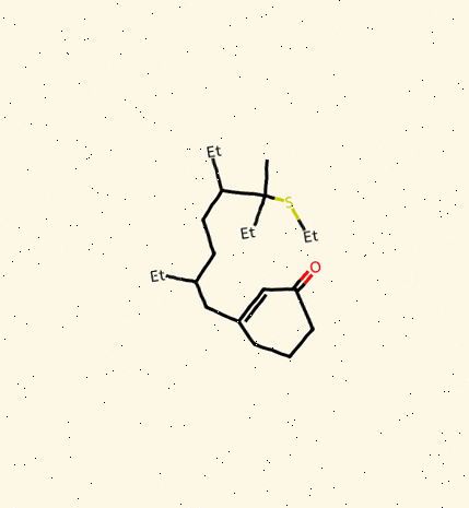 CCSC(C)(CC)C(CC)CCC(CC)CC1=CC(=O)CCC1